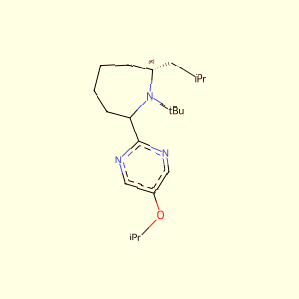 CC(C)C[C@H]1[CH]CCCC(c2ncc(OC(C)C)cn2)N1C(C)(C)C